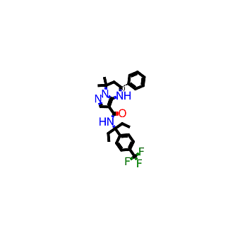 CCC(CC)(NC(=O)c1cnn2c1N[C@@H](c1ccccc1)CC2(C)C)c1ccc(C(F)(F)F)cc1